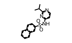 CC(C)c1nccc(NS(=O)(=O)c2ccc3ccccc3c2)n1